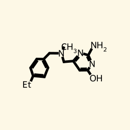 CCc1ccc(CN(C)Cc2cc(O)nc(N)n2)cc1